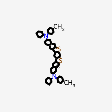 Cc1ccc(N(c2ccccc2)c2ccc3cc4c(cc3c2)sc2cc3sc5cc6cc(N(c7ccccc7)c7ccc(C)cc7)ccc6cc5c3cc24)cc1